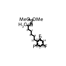 CO[SiH](OC)OC(C)CCCCCc1c(F)cc(F)cc1F